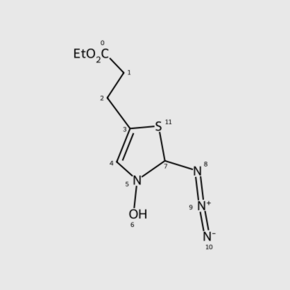 CCOC(=O)CCC1=CN(O)C(N=[N+]=[N-])S1